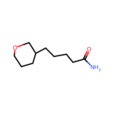 NC(=O)CCCCC1CCCOC1